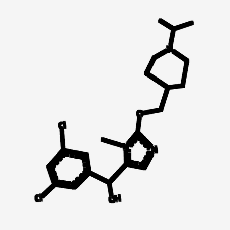 CC(C)N1CCC(COc2ncc(C(O)c3cc(Cl)cc(Cl)c3)n2C)CC1